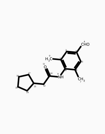 Cc1cc(C=O)cc(C)c1NC(=O)CC1CCCC1